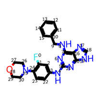 Fc1cc(Nc2nc(NCc3ccccc3)c3nc[nH]c3n2)ccc1N1CCOCC1